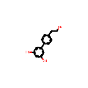 OCCc1ccc(-c2cc(O)cc(O)c2)cc1